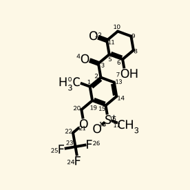 Cc1c(C(=O)C2=C(O)CCCC2=O)ccc([S+](C)[O-])c1COCC(F)(F)F